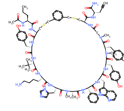 C#CC[C@H](NC(=O)[C@@H]1CSCc2cccc(c2)CSC[C@H](NC(=O)[C@H](CCC)NC(C)=O)C(=O)N[C@@H](Cc2ccc(O)cc2)C(=O)N[C@@H](C(C)(C)C)C(=O)N[C@@H](CCCCN)C(=O)N[C@@H](Cc2cnc[nH]2)C(=O)N(C)[C@@H](C)C(=O)N[C@@H](c2ccccc2)C(=O)N[C@@H](Cc2c[nH]c3ncccc23)C(=O)N[C@@H](Cc2ccc(O)cc2)C(=O)N(C)[C@@H](Cc2ccc(F)cc2)C(=O)N(C)CC(=O)N1)C(N)=O